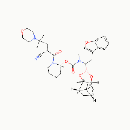 CN(C(=O)O[C@@H]1CCCCN1C(=O)C(C#N)=CC(C)(C)N1CCOCC1)C(Cc1coc2ccccc12)B1O[C@@H]2C[C@@H]3C[C@@H](C3(C)C)[C@]2(C)O1